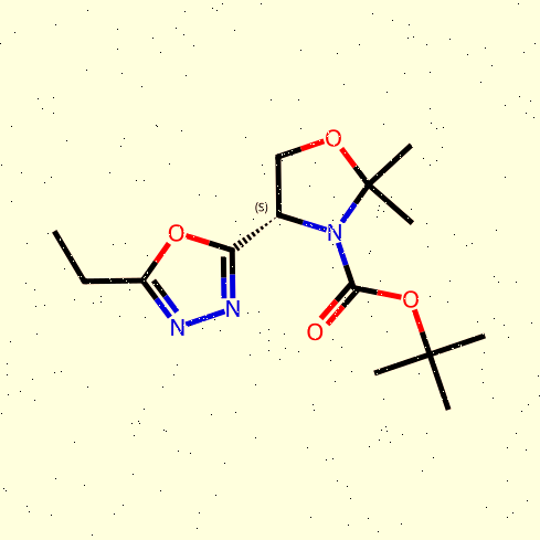 CCc1nnc([C@@H]2COC(C)(C)N2C(=O)OC(C)(C)C)o1